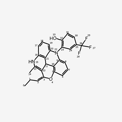 CC/C=C1/Oc2cccc3c2C2C1=C(C)Nc1cccc(c12)N3c1cc(C(F)(F)F)ccc1O